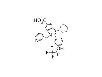 O=C(O)C(F)(F)F.O=C(O)c1cc2c(s1)c(C1CCCCC1)c(-c1ccccc1)n2Cc1cccnc1